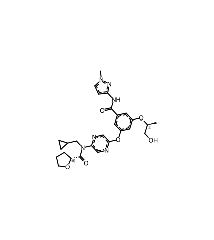 C[C@@H](CO)Oc1cc(Oc2cnc(N(CC3CC3)C(=O)[C@H]3CCCO3)cn2)cc(C(=O)Nc2ccn(C)n2)c1